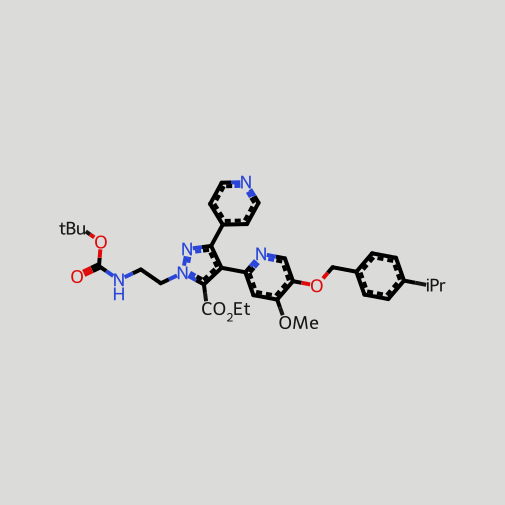 CCOC(=O)c1c(-c2cc(OC)c(OCc3ccc(C(C)C)cc3)cn2)c(-c2ccncc2)nn1CCNC(=O)OC(C)(C)C